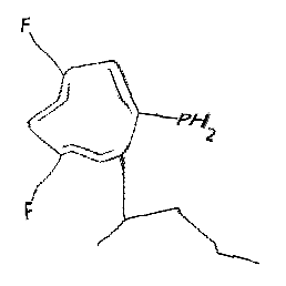 CCCC(C)c1c(F)cc(F)cc1P